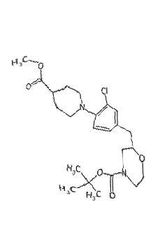 COC(=O)C1CCN(c2ccc(CC3CN(C(=O)OC(C)(C)C)CCO3)cc2Cl)CC1